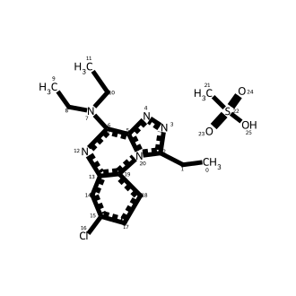 CCc1nnc2c(N(CC)CC)nc3cc(Cl)ccc3n12.CS(=O)(=O)O